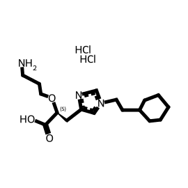 Cl.Cl.NCCCO[C@@H](Cc1cn(CCC2CCCCC2)cn1)C(=O)O